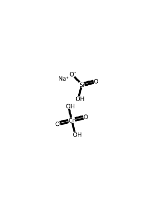 O=[Si]([O-])O.[Na+].[O]=[Cr](=[O])([OH])[OH]